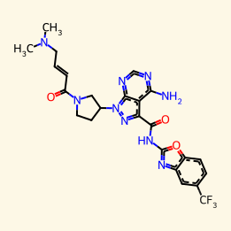 CN(C)CC=CC(=O)N1CCC(n2nc(C(=O)Nc3nc4cc(C(F)(F)F)ccc4o3)c3c(N)ncnc32)C1